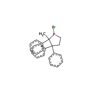 CC1(c2ccccc2)P(Br)CCC1(c1ccccc1)c1ccccc1